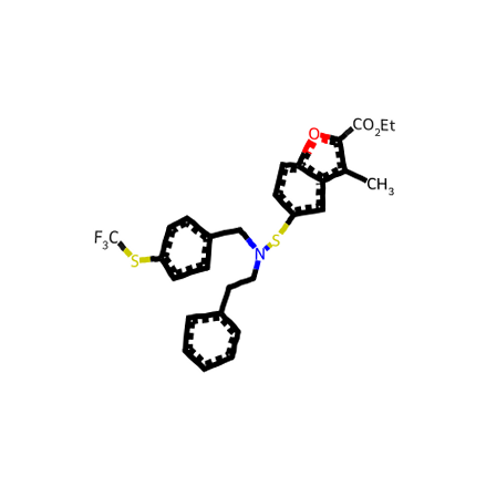 CCOC(=O)c1oc2ccc(SN(CCc3ccccc3)Cc3ccc(SC(F)(F)F)cc3)cc2c1C